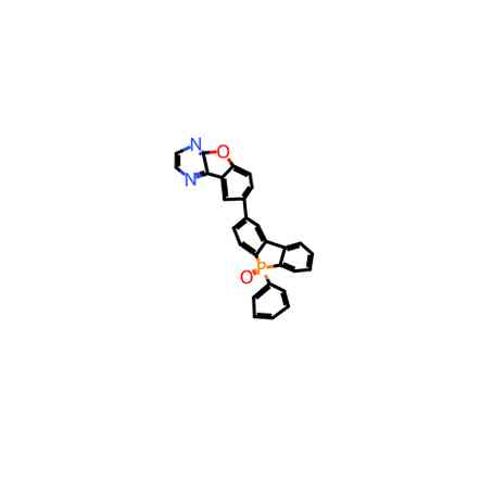 O=P1(c2ccccc2)c2ccccc2-c2cc(-c3ccc4oc5nccnc5c4c3)ccc21